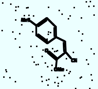 COC(=O)C(C#N)=Cc1ccc(SC)cc1